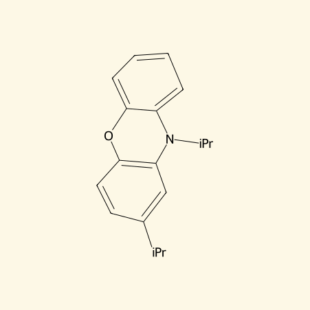 CC(C)c1ccc2c(c1)N(C(C)C)c1ccccc1O2